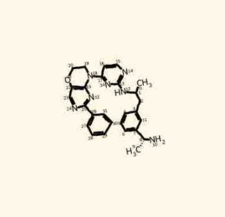 CC(Cc1cccc([C@@H](C)N)c1)Nc1nccc(N2CCOc3cnc(-c4ccccc4)nc32)n1